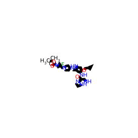 CC(C)(C)OC(=O)N1CC(F)(CN2CCC(N/C=C3/C=C(NC(=O)/C(C=N)=C4\N=CC=CN4)C(OCC4CC4)=CC3=N)CC2)C1